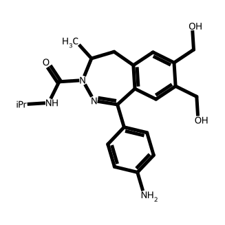 CC(C)NC(=O)N1N=C(c2ccc(N)cc2)c2cc(CO)c(CO)cc2CC1C